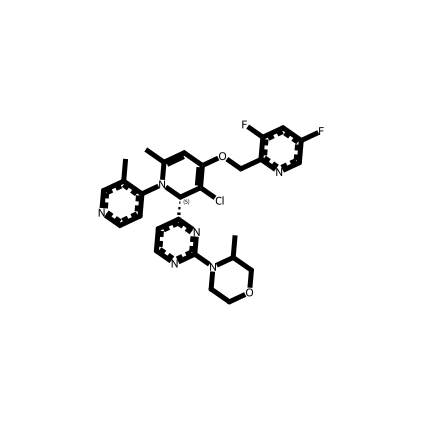 CC1=CC(OCc2ncc(F)cc2F)=C(Cl)[C@H](c2ccnc(N3CCOCC3C)n2)N1c1ccncc1C